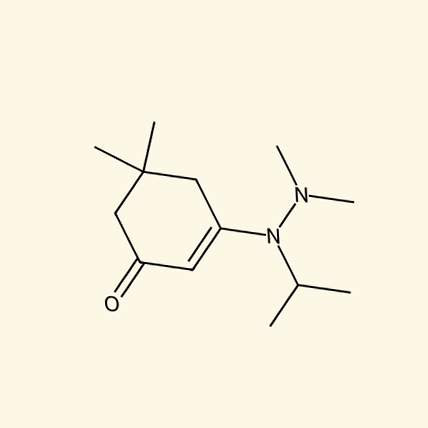 CC(C)N(C1=CC(=O)CC(C)(C)C1)N(C)C